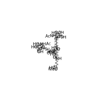 COCC(CO)CCCCNC(=O)C[C@H](CCC(=O)NCCCCCO[C@@H]1OC(CO)[C@@H](O)[C@H](O)C1NC(C)=O)NC(=O)CNC(=O)CCCCO[C@@H]1OC(CO)[C@@H](O)[C@H](O)C1NC(C)=O